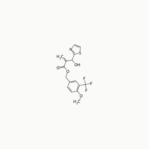 C=C(C(=O)OCc1ccc(OC)c(C(F)(F)F)c1)C(O)c1nccs1